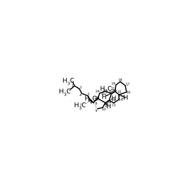 CC(C)CCC[C@@H](C)[C@H]1CC[C@H]2[C@@H]3CC[C@H]4C[CH]CC[C@]4(C)[C@H]3CC[C@]12C